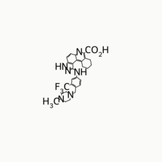 CN1CCN(Cc2ccc(Nc3n[nH]c4ccc5nc(C(=O)O)c6c(c5c34)CCCC6)cc2C(F)(F)F)CC1